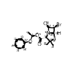 CC(OC(=O)[C@@H]1N2C(=O)C(Br)[C@H]2SC1(C)C)Oc1ccccc1